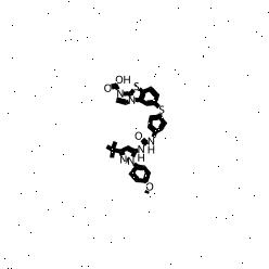 COc1ccc(-n2nc(C(C)(C)C)cc2NC(=O)Nc2ccc(Sc3ccc4c(c3)N3C=CN(C(=O)O)C3S4)cc2)cc1